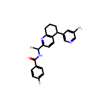 CCC(NC(=O)c1ccc(F)cc1)c1ccc2c(n1)CCCC2c1cncc(C(F)(F)F)c1